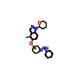 Cc1c(O[C@H]2CCC[C@@H](Nc3ccccc3)C2)ccc2c1cnn2C1CCCCO1